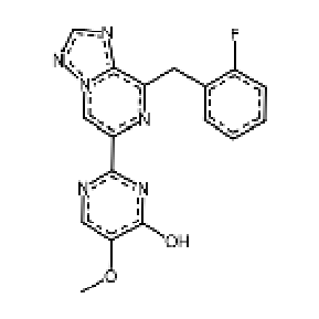 COc1cnc(-c2cn3ncnc3c(Cc3ccccc3F)n2)nc1O